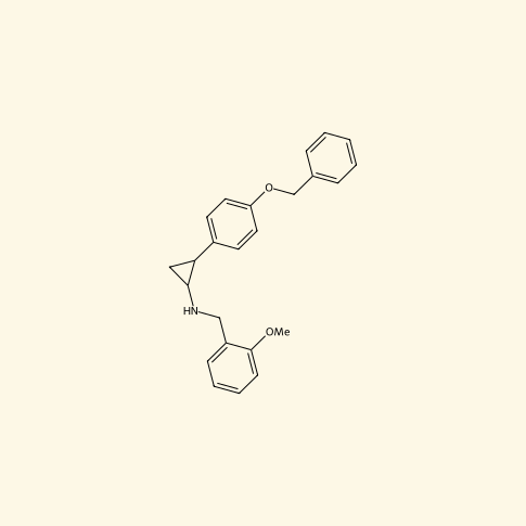 COc1ccccc1CNC1CC1c1ccc(OCc2ccccc2)cc1